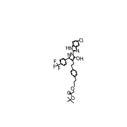 CC(C)(C)OC(=O)COCCCc1ccc(CCc2c(-c3ccc(C(F)(F)F)cc3)nn(-c3nc4cc(Cl)ccc4[nH]3)c2O)cc1